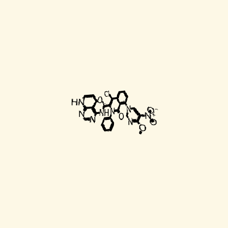 COC1=NCN(c2cccc3c(Cl)c([C@H](C)Nc4ncnc5[nH]ccc(=O)c45)n(-c4ccccc4)c(=O)c23)C=C1[N+](=O)[O-]